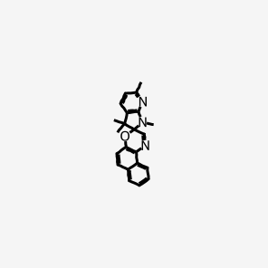 Cc1ccc2c(n1)N(C)C1(C=Nc3c(ccc4ccccc34)O1)C2(C)C